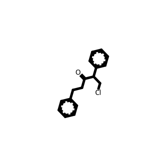 O=C(CCc1ccccc1)C(CCl)c1ccccc1